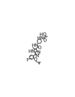 Cc1[nH]c2c(-c3ccc(F)cc3OCC3CC3)ncnc2c1C(=O)N[C@H]1CC[C@@H](NC(=O)[C@H](C)O)CC1